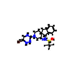 CC(C)(C)[S@@+]([O-])N[C@@H]1c2ccccc2CC12CCN(c1ncc(Br)nn1)CC2